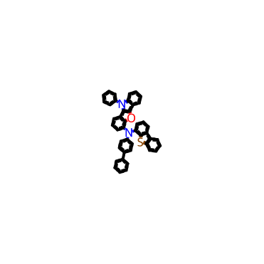 c1ccc(-c2ccc(N(c3cccc4c3oc3c5ccccc5n(-c5ccccc5)c43)c3cccc4c3sc3ccccc34)cc2)cc1